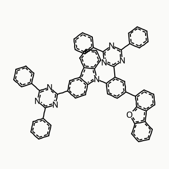 c1ccc(-c2nc(-c3ccccc3)nc(-c3ccc4c(c3)c3ccccc3n4-c3ccc(-c4cccc5c4oc4ccccc45)cc3-c3nc(-c4ccccc4)nc(-c4ccccc4)n3)n2)cc1